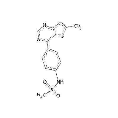 Cc1cc2ncnc(-c3ccc(NS(C)(=O)=O)cc3)c2s1